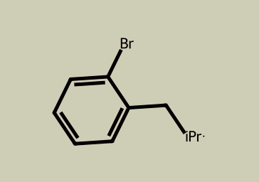 C[C](C)Cc1ccccc1Br